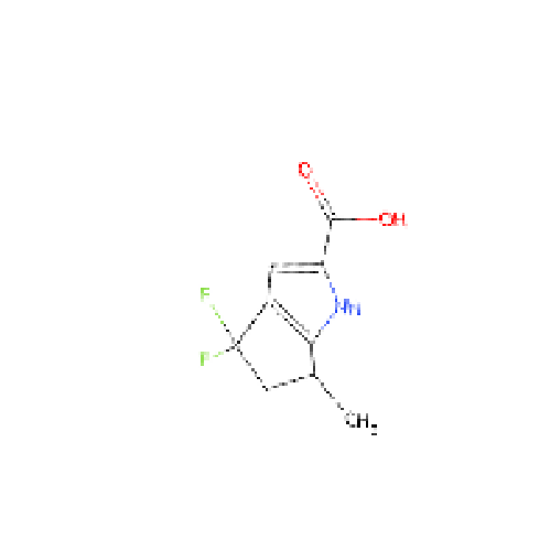 CC1CC(F)(F)c2cc(C(=O)O)[nH]c21